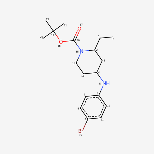 CCC1CC(Nc2ccc(Br)cc2)CCN1C(=O)OC(C)(C)C